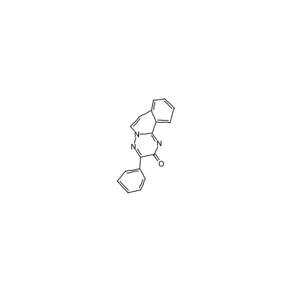 O=c1nc2c3ccccc3ccn2nc1-c1ccccc1